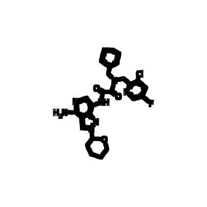 Nc1ncc(NC(=O)C(=O)N(Cc2ccccc2)Cc2ncc(F)cc2Cl)c2nn(C3CCCCO3)cc12